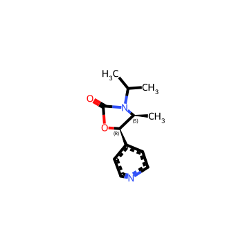 CC(C)N1C(=O)O[C@H](c2ccncc2)[C@@H]1C